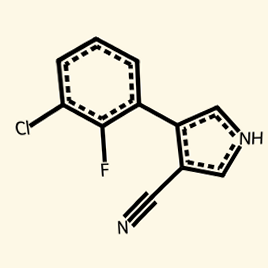 N#Cc1c[nH]cc1-c1cccc(Cl)c1F